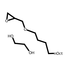 CCCCCCCCCCCCOCC1CO1.OCCO